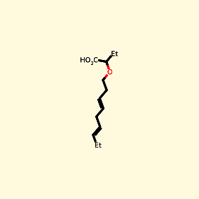 CCC=CCC=CCCOC(CC)C(=O)O